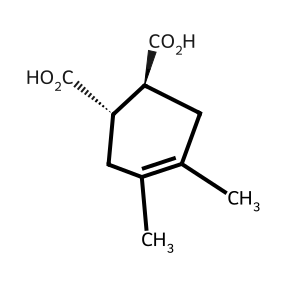 CC1=C(C)C[C@H](C(=O)O)[C@@H](C(=O)O)C1